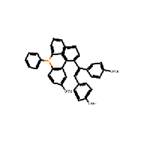 COc1ccc(/C=C(\c2ccc(OC)cc2)c2ccccc2-c2cc(OC)ccc2P(c2ccccc2)c2ccccc2)cc1